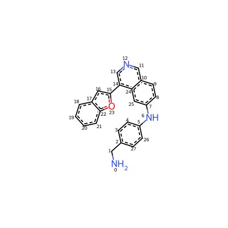 NCc1ccc(Nc2ccc3cncc(-c4cc5ccccc5o4)c3c2)cc1